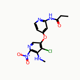 CCC(=O)Nc1cc(Oc2cnc([N+](=O)[O-])c(NC)c2Cl)ccn1